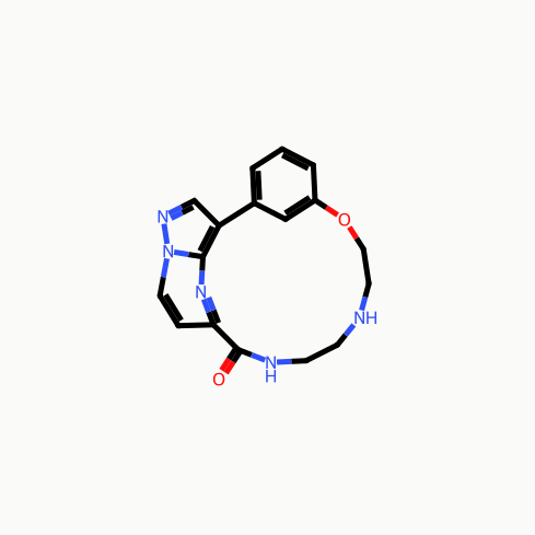 O=C1NCCNCCOc2cccc(c2)-c2cnn3ccc1nc23